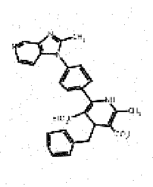 CCOC(=O)C1=C(c2ccc(-n3c(C)nc4cnccc43)cc2)NC(C)=C(C(=O)O)C1Cc1ccccc1